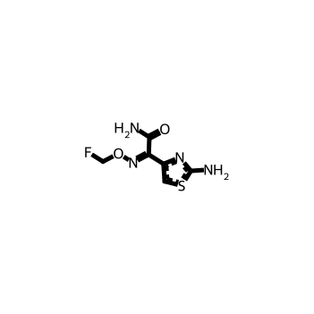 NC(=O)C(=NOCF)c1csc(N)n1